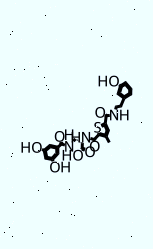 Cc1cc(C(=O)NCCc2cccc(O)c2)sc1C(=O)N[C@@H](CNC(=O)c1cc(O)cc(O)c1)C(=O)O